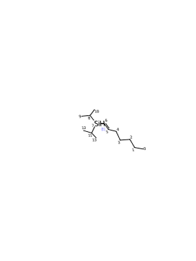 CCCCC/C=C/[SiH](C(C)C)C(C)C